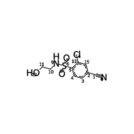 N#Cc1ccc(S(=O)(=O)NCCO)c(Cl)c1